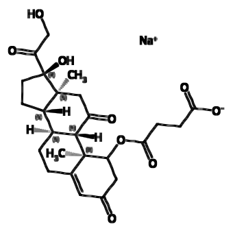 C[C@]12CC(=O)[C@H]3[C@@H](CCC4=CC(=O)CC(OC(=O)CCC(=O)[O-])[C@@]43C)[C@@H]1CC[C@]2(O)C(=O)CO.[Na+]